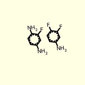 Nc1ccc(F)c(F)c1.Nc1ccc(N)c(F)c1